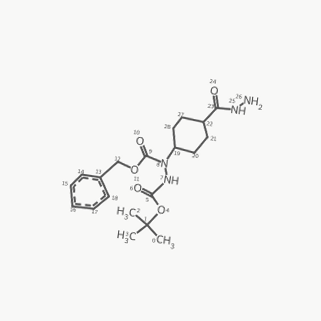 CC(C)(C)OC(=O)NN(C(=O)OCc1ccccc1)C1CCC(C(=O)NN)CC1